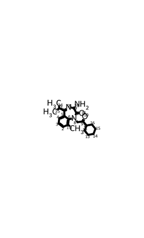 Cc1cccc2c1N(CC(=O)C1CCCCC1)C(=O)C(N)N=C2C(C)C